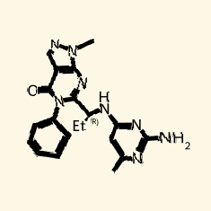 CC[C@@H](Nc1cc(C)nc(N)n1)c1nc2c(cnn2C)c(=O)n1-c1ccccc1